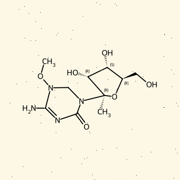 CON1CN([C@]2(C)O[C@H](CO)[C@@H](O)[C@H]2O)C(=O)N=C1N